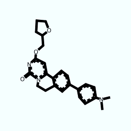 CN(C)c1ccc(-c2ccc3c(c2)CCn2c-3cc(OCC3CCCO3)nc2=O)cc1